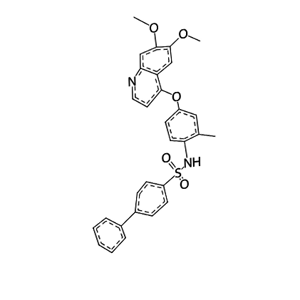 COc1cc2nccc(Oc3ccc(NS(=O)(=O)c4ccc(-c5ccccc5)cc4)c(C)c3)c2cc1OC